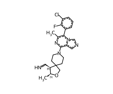 Cc1nc(N2CCC3(CC2)CO[C@@H](C)[C@H]3C=N)c2cncn2c1-c1cccc(Cl)c1F